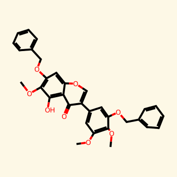 COc1cc(-c2coc3cc(OCc4ccccc4)c(OC)c(O)c3c2=O)cc(OCc2ccccc2)c1OC